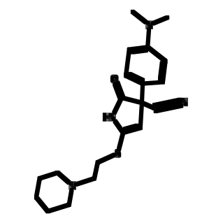 CN(C)c1ccc(C2(C#N)C=C(SCCN3CCCCC3)NC2=O)cc1